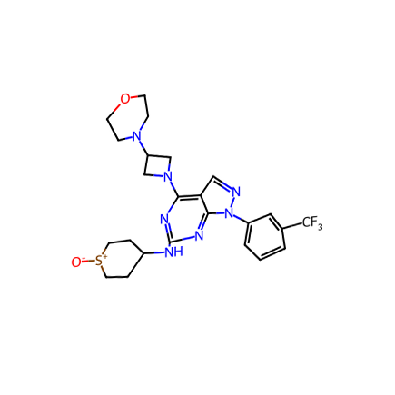 [O-][S+]1CCC(Nc2nc(N3CC(N4CCOCC4)C3)c3cnn(-c4cccc(C(F)(F)F)c4)c3n2)CC1